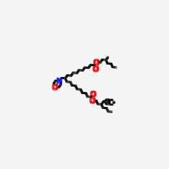 C=C=C=CC(CCCC)CCOC(=O)CCCCCCCCCC(CCCCCCCCCC(=O)OCCC(C)CCCC)CN1CCOCC1